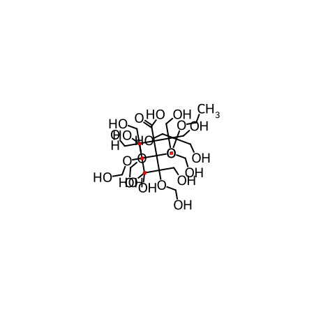 CCOC(CO)(CO)OC(C(CO)(CO)OCO)(C(CO)(CO)OCO)C(C(=O)O)(C(CO)(CO)OCO)C(CO)(CO)OCO